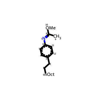 CCCCCCCCCCc1ccc(N=C(C)OC)cc1